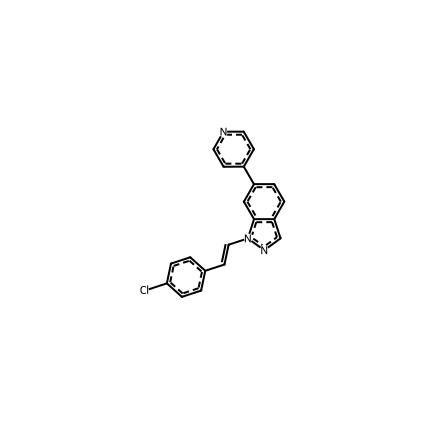 Clc1ccc(C=Cn2ncc3ccc(-c4ccncc4)cc32)cc1